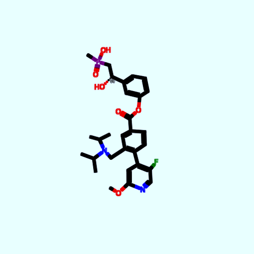 COc1cc(-c2ccc(C(=O)Oc3cccc([C@H](O)CP(C)(=O)O)c3)cc2CN(C(C)C)C(C)C)c(F)cn1